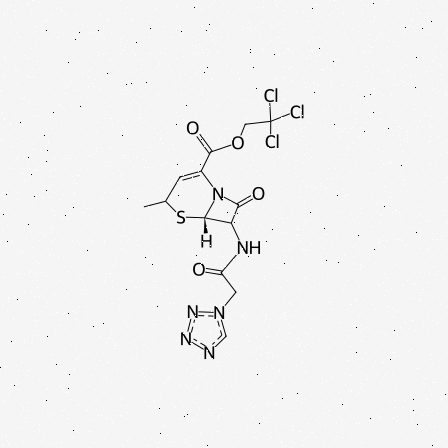 CC1C=C(C(=O)OCC(Cl)(Cl)Cl)N2C(=O)C(NC(=O)Cn3cnnn3)[C@@H]2S1